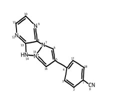 N#Cc1ccc(-c2cn3c4nccnc4[nH][n+]3c2)cc1